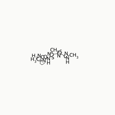 Cc1nc(-c2nc(-c3sc(NC(=O)N4CCC[C@@]4(C)C(N)=O)nc3C)cs2)c[nH]1